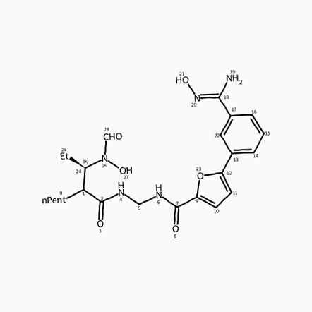 CCCCCC(C(=O)NCNC(=O)c1ccc(-c2cccc(C(N)=NO)c2)o1)[C@@H](CC)N(O)C=O